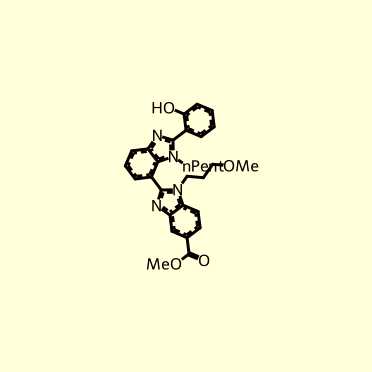 CCCCCn1c(-c2ccccc2O)nc2cccc(-c3nc4cc(C(=O)OC)ccc4n3CCCOC)c21